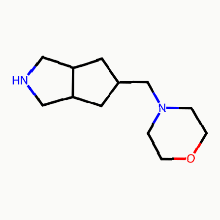 C1CN(CC2CC3CNCC3C2)CCO1